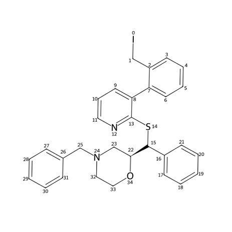 ICc1ccccc1-c1cccnc1SC(c1ccccc1)[C@@H]1CN(Cc2ccccc2)CCO1